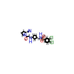 N#C[C@@H]1CCCN1C(=O)CN[C@@H]1CC[C@H](CNS(=O)(=O)c2ccc(Cl)c(Cl)c2)C1